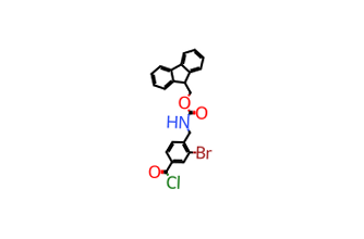 O=C(NCc1ccc(C(=O)Cl)cc1Br)OCC1c2ccccc2-c2ccccc21